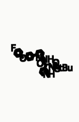 CC(C)(C)OC(=O)NC[C@H](C(=O)Nc1cccc(-c2ccc(Oc3ccc(F)cc3)cc2)n1)c1cccnc1